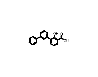 O=C(O)c1cccc(-c2cccc(-c3ccccc3)c2)c1O